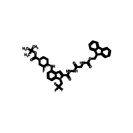 CC(C)(C)OC(=O)N1CC[C@@H](Nc2cccc3c2cc(C(=O)NNC(=O)CNC(=O)OCC2c4ccccc4-c4ccccc42)n3CC(F)(F)F)[C@@H](F)C1